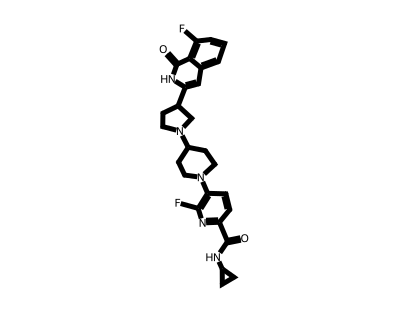 O=C(NC1CC1)c1ccc(N2CCC(N3CCC(c4cc5cccc(F)c5c(=O)[nH]4)C3)CC2)c(F)n1